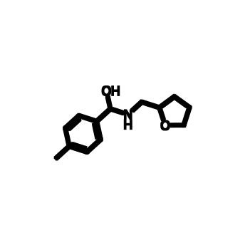 Cc1ccc(C(O)NCC2CCCO2)cc1